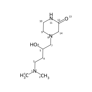 CN(C)CCC(O)CN1CCNC(=O)C1